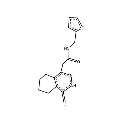 O=C(Cc1n[nH]c(=O)c2c1CCCC2)NCc1ccco1